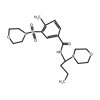 CCCC(NC(=O)c1ccc(C)c(S(=O)(=O)N2CCOCC2)c1)N1CCOCC1